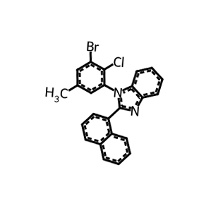 Cc1cc(Br)c(Cl)c(-n2c(-c3cccc4ccccc34)nc3ccccc32)c1